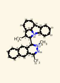 Cc1c(-c2c3cc4ccccc4cc3c(C(F)(F)F)n[n+]2C)n2c3ccccc3c3cccc1c32